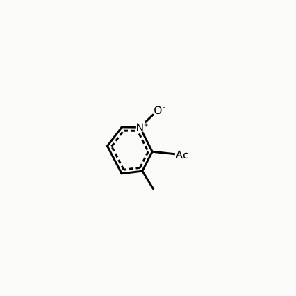 CC(=O)c1c(C)ccc[n+]1[O-]